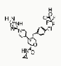 Nc1nnc(N2CCC(N3C[C@H](C(=O)NC4CC4)OC[C@@H]3Cc3ccc(Cl)cc3)CC2)[nH]1.O=C(O)C(F)(F)F